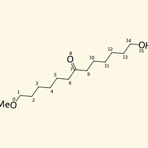 COCCCCCCC(=O)CCCCCCO